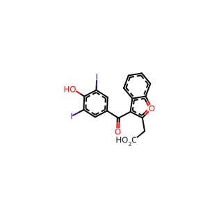 O=C(O)Cc1oc2ccccc2c1C(=O)c1cc(I)c(O)c(I)c1